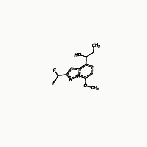 CCC(O)c1ccc(OC)n2nc(C(F)F)cc12